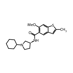 COc1cc2sc(C)cc2cc1C(=O)N[C@H]1CCN(C2CCCCC2)C1